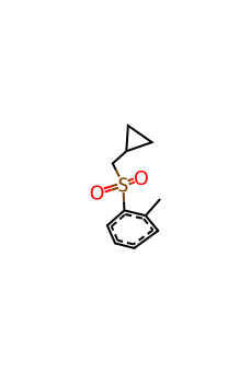 Cc1ccccc1S(=O)(=O)CC1CC1